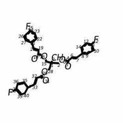 CC(COC(=O)/C=C/c1ccc(F)cc1)(COC(=O)/C=C/c1ccc(F)cc1)COC(=O)/C=C/C1C=CC(F)=CC1